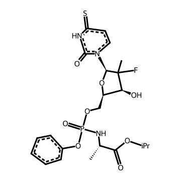 CC(C)OC(=O)[C@H](C)NP(=O)(OC[C@H]1O[C@@H](n2ccc(=S)[nH]c2=O)C(C)(F)[C@H]1O)Oc1ccccc1